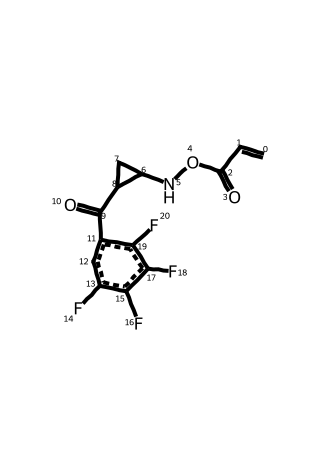 C=CC(=O)ONC1CC1C(=O)c1cc(F)c(F)c(F)c1F